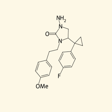 COc1ccc(CCN2C(=O)N(N)CC2C2(c3ccc(F)cc3)CC2)cc1